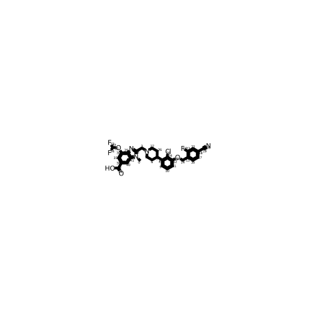 Cn1c(CN2CCC(c3cccc(OCc4ccc(C#N)cc4F)c3Cl)CC2)nc2c(OC(F)F)cc(C(=O)O)cc21